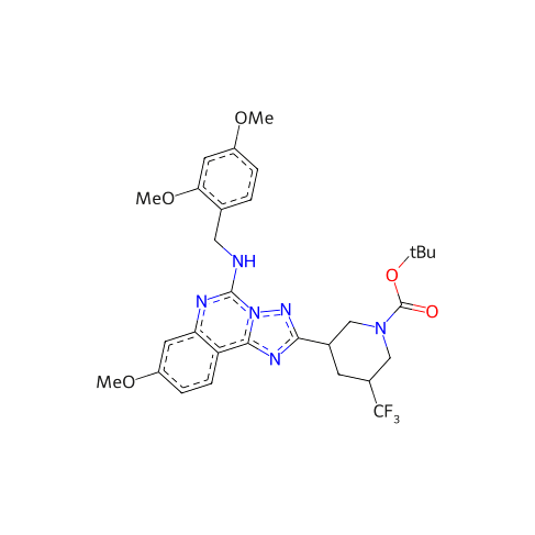 COc1ccc(CNc2nc3cc(OC)ccc3c3nc(C4CC(C(F)(F)F)CN(C(=O)OC(C)(C)C)C4)nn23)c(OC)c1